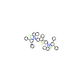 FC1=C(N(C2=CC=C3c4c(c5ccc(N(C6=C(F)C(c7ccccc7)CC([C@H]7C=CC=CC7)=C6)c6cccc7c6CCC=C7)cc5c5c4=CCCC=5)SC3C2)c2cccc3c2CCC=C3)C=C(C2=CCCC=C2)CC1c1ccccc1